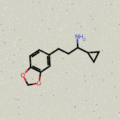 NC(CCc1ccc2c(c1)OCO2)C1CC1